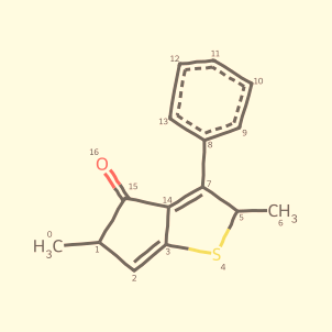 CC1C=C2SC(C)C(c3ccccc3)=C2C1=O